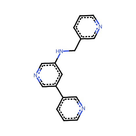 c1cncc(CNc2cncc(-c3cccnc3)c2)c1